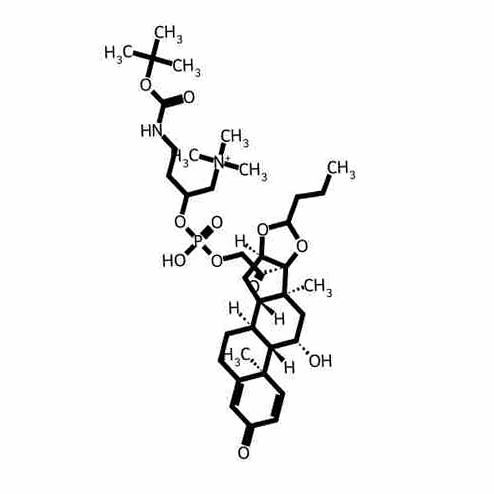 CCCC1O[C@@H]2C[C@H]3[C@@H]4CCC5=CC(=O)C=C[C@]5(C)[C@H]4[C@@H](O)C[C@]3(C)[C@]2(C(=O)COP(=O)(O)OC(CCNC(=O)OC(C)(C)C)C[N+](C)(C)C)O1